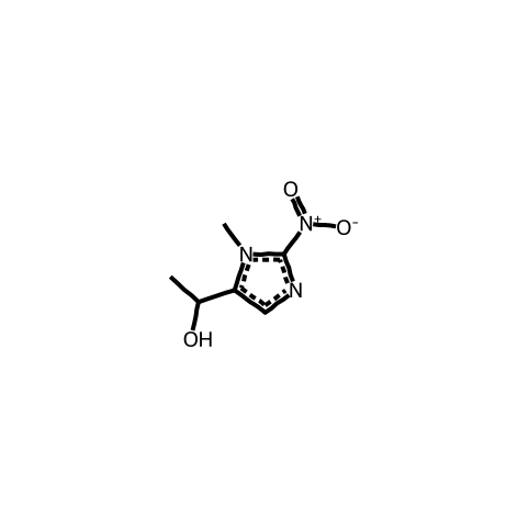 CC(O)c1cnc([N+](=O)[O-])n1C